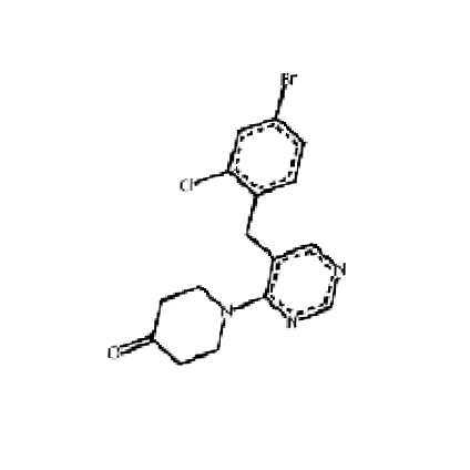 O=C1CCN(c2ncncc2Cc2ccc(Br)cc2Cl)CC1